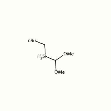 [CH2]CCCC[SiH2]C(OC)OC